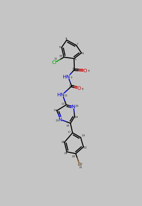 O=C(NC(=O)c1ccccc1Cl)Nc1cnc(-c2ccc(Br)cc2)cn1